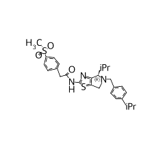 CC(C)c1ccc(CN2Cc3sc(NC(=O)Cc4ccc(S(C)(=O)=O)cc4)nc3[C@H]2C(C)C)cc1